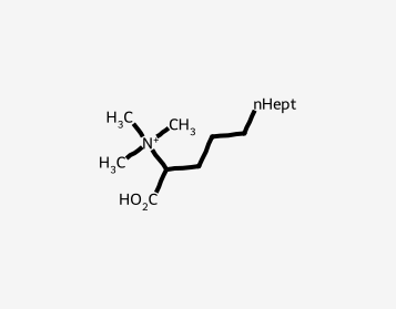 CCCCCCCCCCC(C(=O)O)[N+](C)(C)C